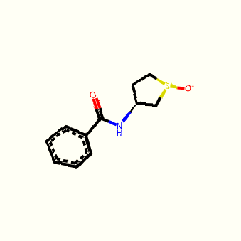 O=C(N[C@H]1CC[S+]([O-])C1)c1ccccc1